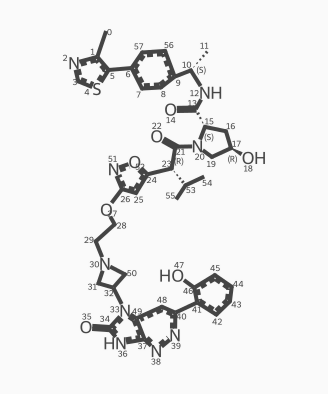 Cc1ncsc1-c1ccc([C@H](C)NC(=O)[C@@H]2C[C@@H](O)CN2C(=O)[C@@H](c2cc(OCCN3CC(n4c(=O)[nH]c5nnc(-c6ccccc6O)cc54)C3)no2)C(C)C)cc1